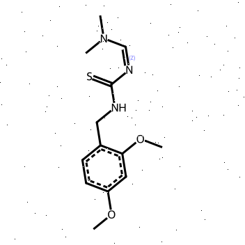 COc1ccc(CNC(=S)/N=C\N(C)C)c(OC)c1